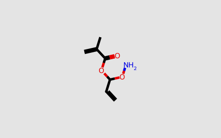 C=CC(ON)OC(=O)C(=C)C